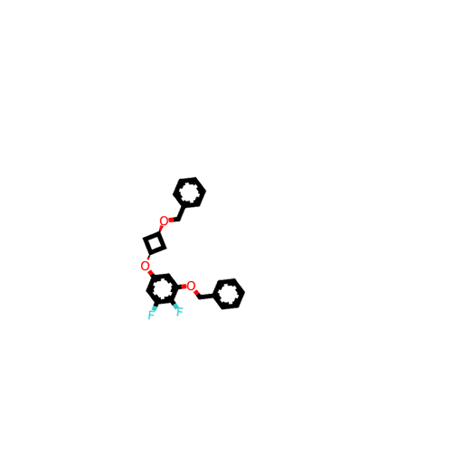 Fc1cc(O[C@H]2C[C@H](OCc3ccccc3)C2)cc(OCc2ccccc2)c1F